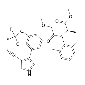 COCC(=O)N(c1c(C)cccc1C)[C@H](C)C(=O)OC.N#Cc1c[nH]cc1-c1cccc2c1OC(F)(F)O2